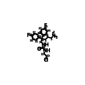 CN(C)CCCC(CNC(=O)NCCCl)(c1ccc(F)cc1)c1ccc(F)cc1